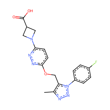 Cc1nnn(-c2ccc(F)cc2)c1COc1ccc(N2CC(C(=O)O)C2)nn1